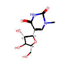 Cn1cc([C@@H]2O[C@H](CO)C(O)[C@@H]2O)c(=O)[nH]c1=O